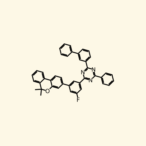 CC1(C)Oc2cc(-c3cc(F)cc(-c4nc(-c5ccccc5)nc(-c5cccc(-c6ccccc6)c5)n4)c3)ccc2-c2ccccc21